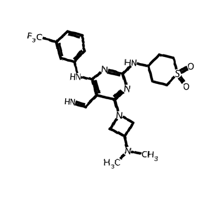 CN(C)C1CN(c2nc(NC3CCS(=O)(=O)CC3)nc(Nc3cccc(C(F)(F)F)c3)c2C=N)C1